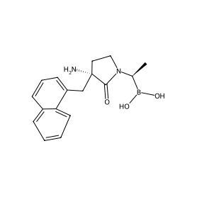 C[C@@H](B(O)O)N1CC[C@](N)(Cc2cccc3ccccc23)C1=O